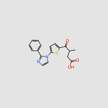 CC(CC(=O)O)C(=O)c1ccc(-n2ccnc2-c2ccccc2)s1